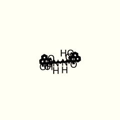 O=C1c2cccc3ccc(O)c(c23)C(=O)N1CCNCCCNCCN1C(=O)c2cccc3ccc(O)c(c23)C1=O